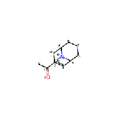 CC(=O)C1=CC2CCCC(C1)N2C